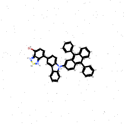 Brc1ccc(-c2ccc3c(c2)c2ccccc2n3-c2ccc3c(-c4ccccc4)c4ccccc4c(-c4ccccc4)c3c2)c2nsnc12